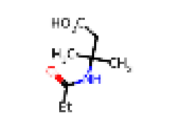 CCC(=O)NC(C)(C)CC(=O)O